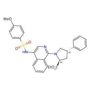 CCOC(=O)[C@@H]1C[C@@H](c2ccccc2)CN1c1ncc(NS(=O)(=O)c2ccc(OC)cc2)c2ccccc12